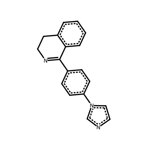 c1ccc2c(c1)CCN=C2c1ccc(-n2ccnc2)cc1